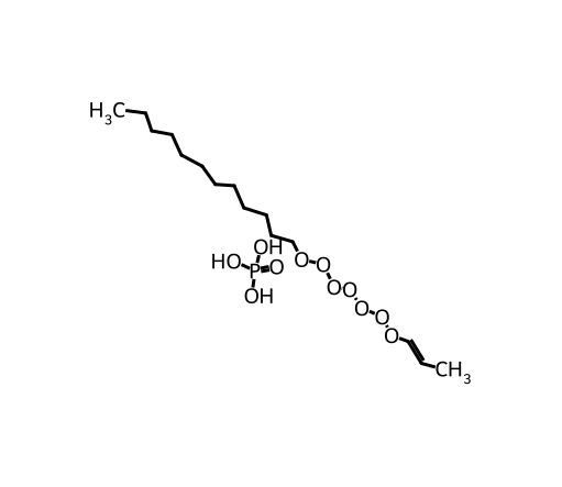 CC=COOOOOOOCCCCCCCCCCCC.O=P(O)(O)O